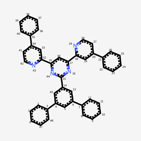 c1ccc(-c2cc(-c3ccccc3)cc(-c3nc(-c4cc(-c5ccccc5)ccn4)cc(-c4cc(-c5ccccc5)ccn4)n3)c2)cc1